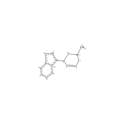 CN1CC=CC(c2occ3ccccc23)C1